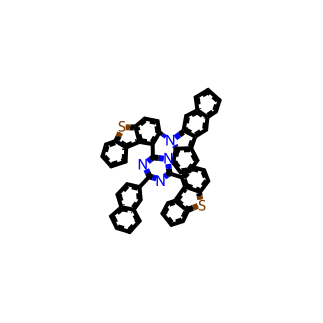 c1ccc2cc(-c3nc(-c4cccc5sc6ccccc6c45)nc(-c4c(-n5c6ccccc6c6cc7ccccc7cc65)ccc5sc6ccccc6c45)n3)ccc2c1